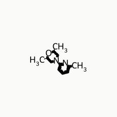 Cc1cccc(N2C[C@@H](C)O[C@@H](C)C2)n1